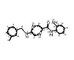 Cc1cccc(CNc2cnc(C(=O)Nc3ccccc3N)cn2)c1